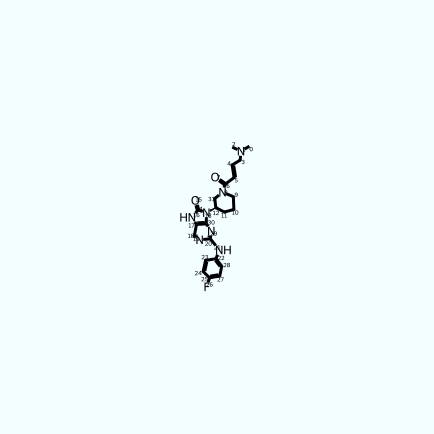 CN(C)CC=CC(=O)N1CCC[C@@H](n2c(=O)[nH]c3cnc(Nc4ccc(F)cc4)nc32)C1